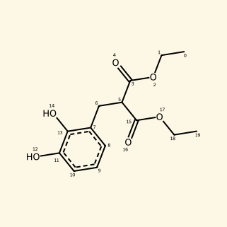 CCOC(=O)C(Cc1cccc(O)c1O)C(=O)OCC